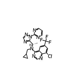 C[C@@H](c1ncnn1-c1ncccn1)N(CC1CC1)c1ncnc2c(Cl)cc(C(F)(F)F)cc12